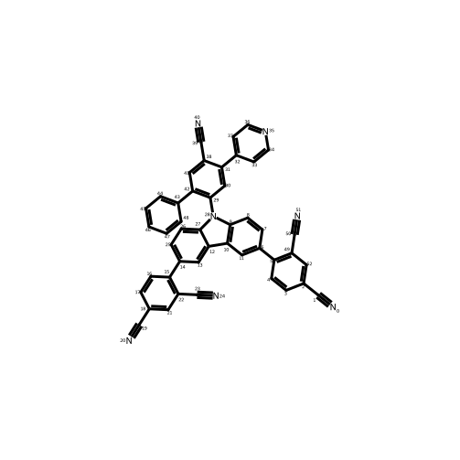 N#Cc1ccc(-c2ccc3c(c2)c2cc(-c4ccc(C#N)cc4C#N)ccc2n3-c2cc(-c3ccncc3)c(C#N)cc2-c2ccccc2)c(C#N)c1